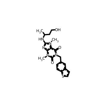 CC(CCO)Nc1nc2c(c(=O)n(Cc3ccc4sccc4c3)c(=O)n2C)n1C